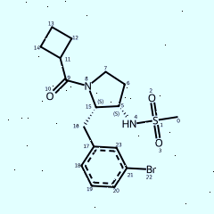 CS(=O)(=O)N[C@H]1CCN(C(=O)C2CCC2)[C@H]1Cc1cccc(Br)c1